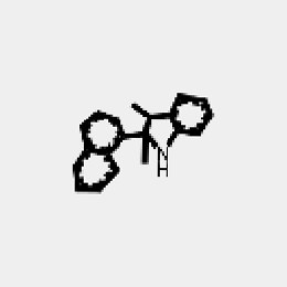 CC1c2ccccc2NC1(C)c1cccc2ccccc12